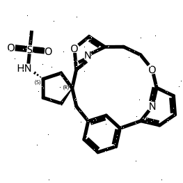 CS(=O)(=O)N[C@H]1CC[C@@]2(Cc3cccc(c3)-c3cccc(n3)OCCc3coc2n3)C1